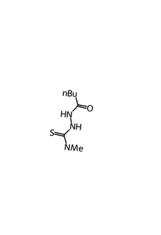 CCCCC(=O)NNC(=S)NC